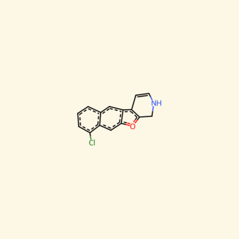 Clc1cccc2cc3c4c(oc3cc12)CNC=C4